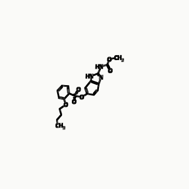 CCCCOc1ccccc1S(=O)(=O)Oc1ccc2nc(NC(=O)OC)[nH]c2c1